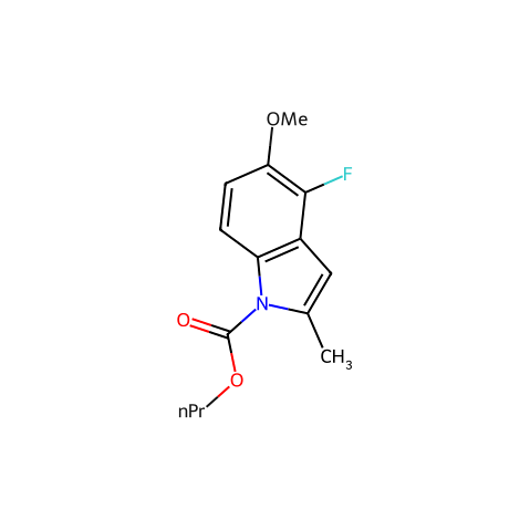 CCCOC(=O)n1c(C)cc2c(F)c(OC)ccc21